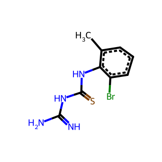 Cc1cccc(Br)c1NC(=S)NC(=N)N